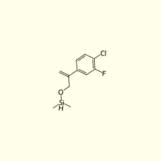 C=C(CO[SiH](C)C)c1ccc(Cl)c(F)c1